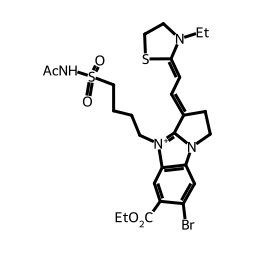 CCOC(=O)c1cc2c(cc1Br)n1c([n+]2CCCCS(=O)(=O)NC(C)=O)C(=CC=C2SCCN2CC)CC1